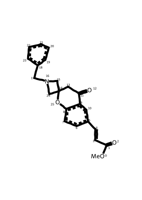 COC(=O)C=Cc1ccc2c(c1)C(=O)CC1(CN(Cc3ccccc3)C1)O2